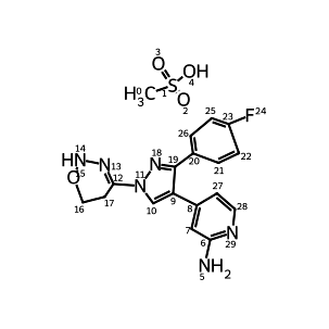 CS(=O)(=O)O.Nc1cc(-c2cn(C3=NNOCC3)nc2-c2ccc(F)cc2)ccn1